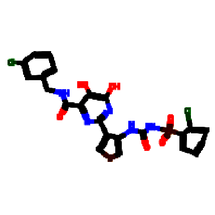 O=C(Nc1cscc1-c1nc(O)c(O)c(C(=O)NCc2cccc(Cl)c2)n1)NS(=O)(=O)c1ccccc1Cl